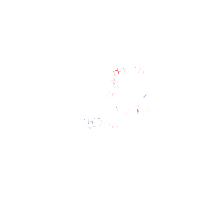 C=CCC1/C=C(\C)CC(C)CC(OC)C2CC(O)(C(=O)C(=O)N3CCCCC3C(=O)CC(C(C)=CC3CCC(Oc4ccc5c(ccn5CC)c4)C(OC)C3)C(C)C(O)CC1=O)C(C)CC2OC